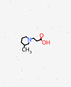 CC1CCCN(CCC(=O)O)C1